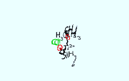 C[Si](C)(C)OCCC[CH2][Ti+2][C]1=C2[SiH2]C2=CC1=O.[Cl-].[Cl-]